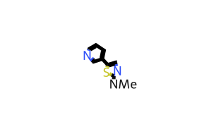 CNc1ncc(-c2cccnc2)s1